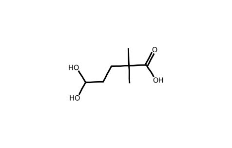 CC(C)(CCC(O)O)C(=O)O